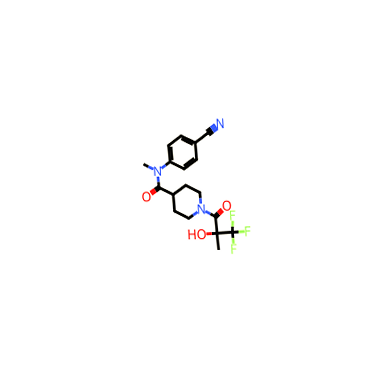 CN(C(=O)C1CCN(C(=O)C(C)(O)C(F)(F)F)CC1)c1ccc(C#N)cc1